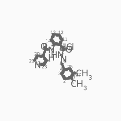 Cc1ccc(C=NNC(=O)c2ccccc2NC(=O)c2ccncc2)cc1C.Cl